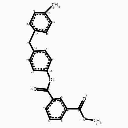 COC(=O)c1cccc(C(=O)Oc2ccc(Cc3ccc(C)cc3)cc2)c1